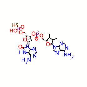 CC1C(C)[C@@H](COP(C)(=O)O[C@H]2C[C@H](n3c(=O)[nH]c4c(N)ncnc43)O[C@@H]2COP(=O)(O)S)O[C@H]1n1cnc2c(N)ncnc21